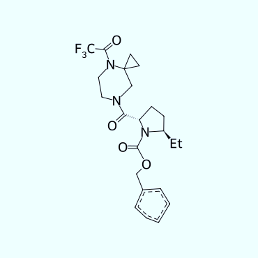 CC[C@@H]1CC[C@@H](C(=O)N2CCN(C(=O)C(F)(F)F)C3(CC3)C2)N1C(=O)OCc1ccccc1